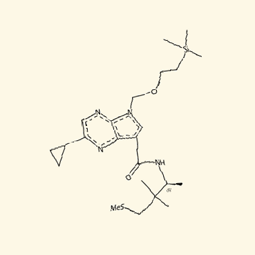 CSCC(C)(C)[C@H](C)NC(=O)c1cn(COCC[Si](C)(C)C)c2ncc(C3CC3)nc12